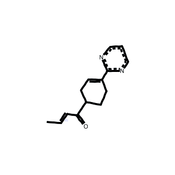 C/C=C/C(=O)C1CC=C(c2ncccn2)CC1